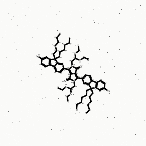 CCCCCCC1(CCCCCC)c2cc(Br)ccc2-c2ccc(C3=C4C(=O)N(CC(OCC)OCC)C(c5ccc6c(c5)C(CCCCCC)(CCCCCC)c5cc(Br)ccc5-6)=C4C(=O)N3CC(OCC)OCC)cc21